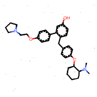 CN(C)C1CCCCC1Oc1ccc(Cc2ccc(O)cc2-c2ccc(OCCN3CCCC3)cc2)cc1